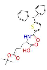 CC(C)(C)OC(=O)CCC[C@H](NC(=O)c1ccc(C(c2ccccc2)c2ccccc2)s1)C(=O)O